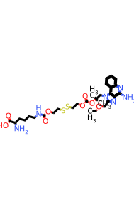 CCOCc1nc2c(N)nc3ccccc3c2n1CC(C)(C)OC(=O)OCCSSCCOC(=O)NCCCCC(N)C(=O)O